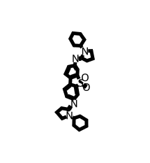 O=S1(=O)c2cc(N=C3CCCN3C3CCCCC3)ccc2-c2ccc(N=C3CCCN3C3CCCCC3)cc21